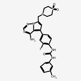 Cc1cccc(NC(=O)Nc2ccc(-c3cc(CN4CCS(=O)(=O)CC4)n4ncnc(N)c34)cc2F)c1